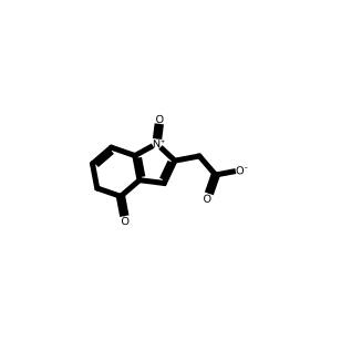 O=C([O-])CC1=CC2=C(C=CCC2=O)[N+]1=O